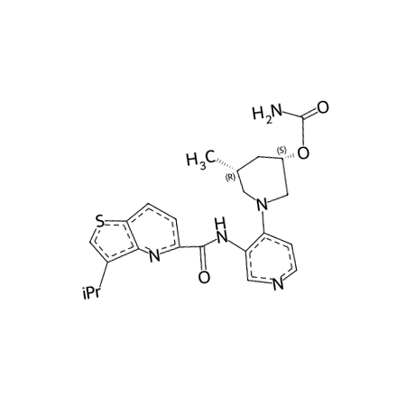 CC(C)c1csc2ccc(C(=O)Nc3cnccc3N3C[C@H](C)C[C@H](OC(N)=O)C3)nc12